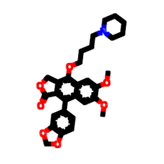 COc1cc2c(OCCCCN3CCCCC3)c3c(c(-c4ccc5c(c4)OCO5)c2cc1OC)C(=O)OC3